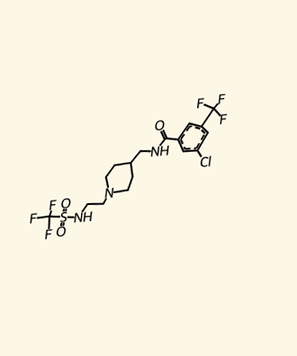 O=C(NCC1CCN(CCNS(=O)(=O)C(F)(F)F)CC1)c1cc(Cl)cc(C(F)(F)F)c1